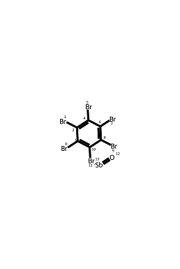 Brc1c(Br)c(Br)c(Br)c(Br)c1Br.[O]=[Sb]